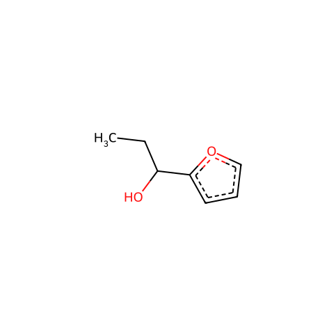 CCC(O)c1ccco1